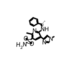 Cc1nc(N[C@@H](C)c2ccccc2)c(-c2cn(C)cn2)cc1S(N)(=O)=O